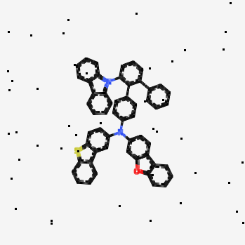 c1ccc(-c2cccc(-n3c4ccccc4c4ccccc43)c2-c2ccc(N(c3ccc4c(c3)oc3ccccc34)c3ccc4sc5ccccc5c4c3)cc2)cc1